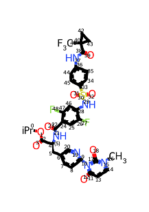 CC(C)OC(=O)[C@H](Cc1ccc(-n2c(=O)ccn(C)c2=O)nc1)NC(=O)c1cc(F)c(NS(=O)(=O)c2ccc(NC(=O)C3(C(F)(F)F)CC3)cc2)cc1F